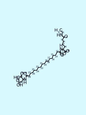 CCNC(=O)CCCCC(NC(=O)CCCCCCCCCCCCCCCCC(=O)NC(CC(=O)O)C(=O)O)C(=O)O